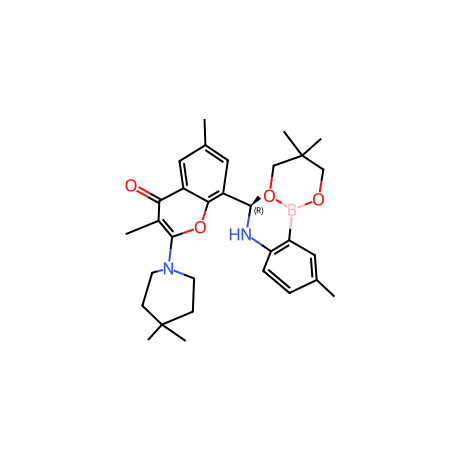 Cc1ccc(N[C@H](C)c2cc(C)cc3c(=O)c(C)c(N4CCC(C)(C)CC4)oc23)c(B2OCC(C)(C)CO2)c1